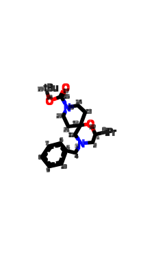 CC(C)C1CN(Cc2ccccc2)CC2(CCN(C(=O)OC(C)(C)C)CC2)O1